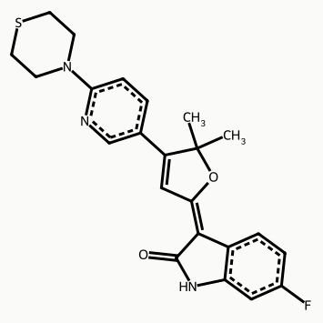 CC1(C)O/C(=C2/C(=O)Nc3cc(F)ccc32)C=C1c1ccc(N2CCSCC2)nc1